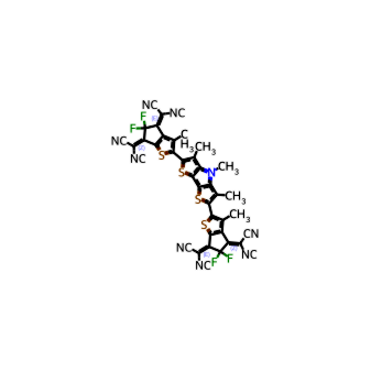 [C-]#[N+]/C(C#N)=C1/c2c(sc(-c3sc4c5sc(-c6sc7c(c6C)/C(=C(/C#N)[N+]#[C-])C(F)(F)/C7=C(\C#N)[N+]#[C-])c(C)c5n(C)c4c3C)c2C)/C(=C(\C#N)[N+]#[C-])C1(F)F